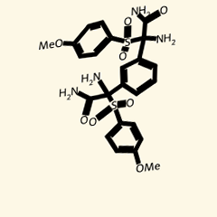 COc1ccc(S(=O)(=O)C(N)(C(N)=O)c2cccc(C(N)(C(N)=O)S(=O)(=O)c3ccc(OC)cc3)c2)cc1